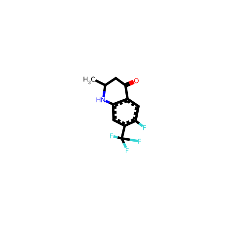 CC1CC(=O)c2cc(F)c(C(F)(F)F)cc2N1